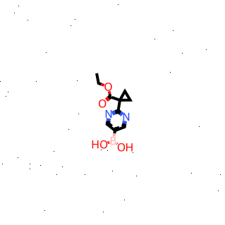 CCOC(=O)C1(c2ncc(B(O)O)cn2)CC1